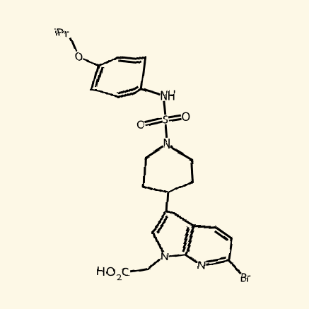 CC(C)Oc1ccc(NS(=O)(=O)N2CCC(c3cn(CC(=O)O)c4nc(Br)ccc34)CC2)cc1